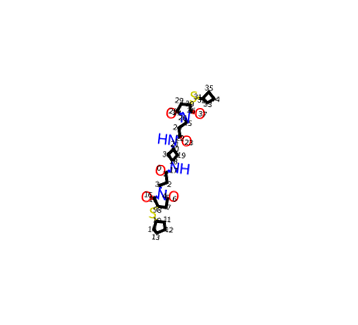 O=C(CCN1C(=O)CC(SC2CCCC2)C1=O)NC1CC(NC(=O)CCN2C(=O)CC(SC3CCC3)C2=O)C1